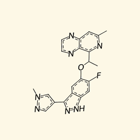 Cc1cc2nccnc2c(C(C)Oc2cc3c(-c4cnn(C)c4)n[nH]c3cc2F)n1